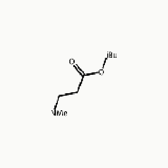 CCC(C)OC(=O)CCNC